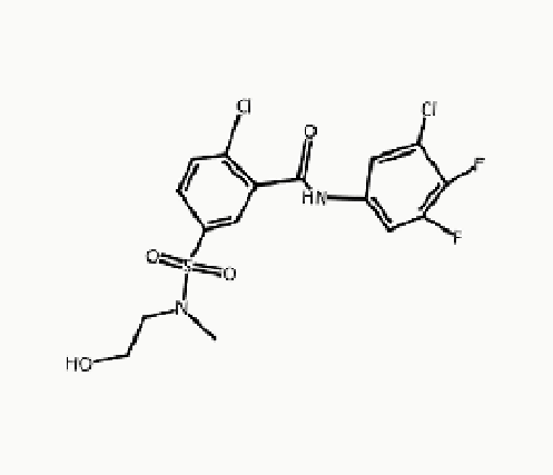 CN(CCO)S(=O)(=O)c1ccc(Cl)c(C(=O)Nc2cc(F)c(F)c(Cl)c2)c1